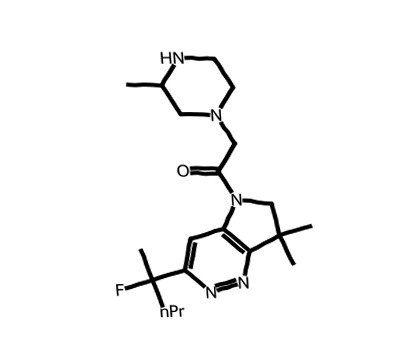 CCCC(C)(F)c1cc2c(nn1)C(C)(C)CN2C(=O)CN1CCNC(C)C1